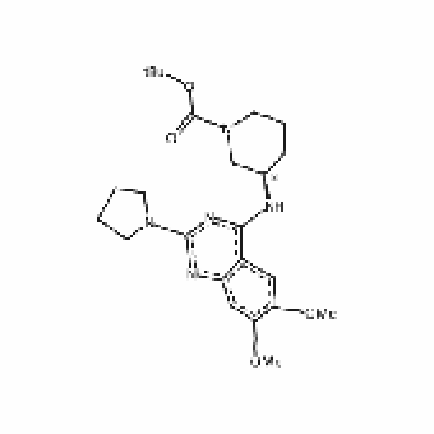 COc1cc2nc(N3CCCC3)nc(N[C@@H]3CCCN(C(=O)OC(C)(C)C)C3)c2cc1OC